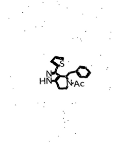 CC(=O)N1CCc2[nH]nc(-c3cccs3)c2C1Cc1ccccc1